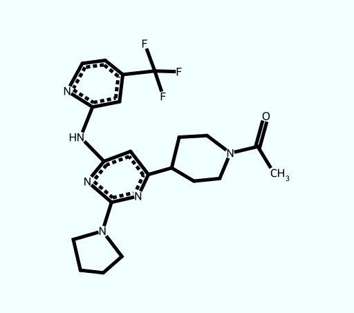 CC(=O)N1CCC(c2cc(Nc3cc(C(F)(F)F)ccn3)nc(N3CCCC3)n2)CC1